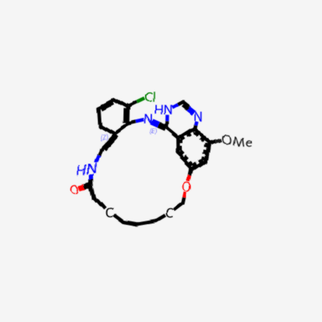 COc1cc2cc3c1N=CN/C3=N/C1=C(Cl)C=CC/C1=C/NC(=O)CCCCCCCO2